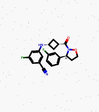 N#Cc1cc(F)cc(N[C@H]2C[C@@H](C(=O)N3OCC[C@H]3c3cccc(F)c3)C2)c1